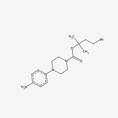 CC(C)CCC(C)(C)OC(=O)N1CCN(c2ccc(N)cc2)CC1